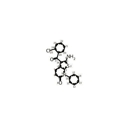 Nc1sc2c(ccc(=O)n2-c2ccccc2)c1C(=O)c1ccccc1Cl